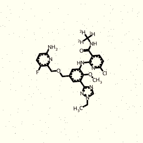 [2H]C([2H])([2H])NC(=O)c1ccc(Cl)nc1Nc1cc(COCc2nc(N)ccc2F)cc(-c2ncn(CC)n2)c1OC